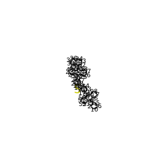 c1ccc(-c2c3ccccc3c(-c3ccc4c(c3)sc3ccc(-c5c6ccccc6c(-c6cccc7ccccc67)c6ccccc56)cc34)c3ccccc23)cc1